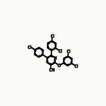 N#Cc1cc(-c2ccc(Cl)cc2)c(-c2ccc(Cl)cc2Cl)nc1Oc1cc(Cl)cc(Cl)c1